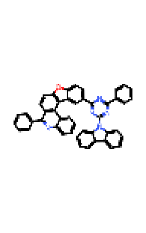 c1ccc(-c2nc(-c3ccc4oc5ccc6c(-c7ccccc7)nc7ccccc7c6c5c4c3)nc(-n3c4ccccc4c4ccccc43)n2)cc1